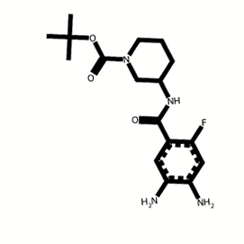 CC(C)(C)OC(=O)N1CCCC(NC(=O)c2cc(N)c(N)cc2F)C1